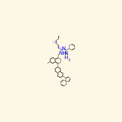 C=C\C=C/C=C/C(=N/C(N)C1C=CC=CC1)NCC1=c2ccc(C)cc2=C(c2ccc3ccc(C4=CC=CC45C=CC=CC5)cc3c2)CC1